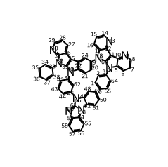 c1ccc(-n2c3cccnc3c3c4ncccc4n(-c4ccc5c(c4)c4c6cccnc6n(-c6ccccc6)c4n5-c4cccc(-n5c6ccccc6n6c7ccccc7nc56)c4)c32)cc1